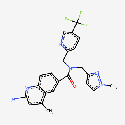 Cc1cc(N)nc2ccc(C(=O)N(Cc3ccc(C(F)(F)F)cn3)Cc3ccn(C)n3)cc12